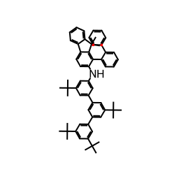 CC(C)(C)c1cc(Nc2ccc3c(c2-c2ccccc2-c2ccccc2)C(C)(C)c2ccccc2-3)cc(-c2cc(-c3cc(C(C)(C)C)cc(C(C)(C)C)c3)cc(C(C)(C)C)c2)c1